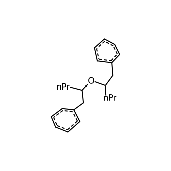 CCCC(Cc1ccccc1)OC(CCC)Cc1ccccc1